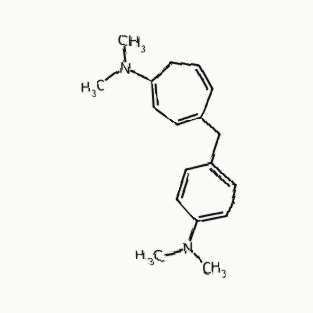 CN(C)C1=CC=C(Cc2ccc(N(C)C)cc2)C=CC1